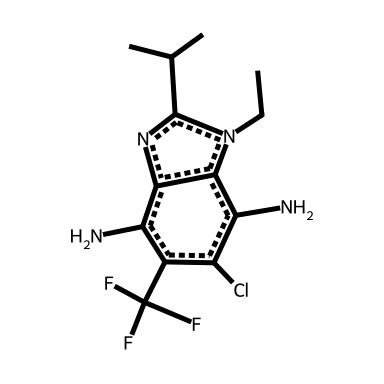 CCn1c(C(C)C)nc2c(N)c(C(F)(F)F)c(Cl)c(N)c21